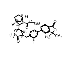 CC(C)(C)OC(=O)N1[C@@H]2CC[C@@H](C2)[C@H]1C(=O)N[C@@H](Cc1ccc(-c2ccc3c(c2)C(C)(C)OC3=O)cc1F)C(N)=O